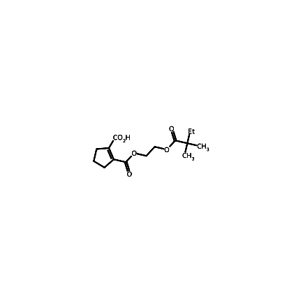 CCC(C)(C)C(=O)OCCOC(=O)C1=C(C(=O)O)CCC1